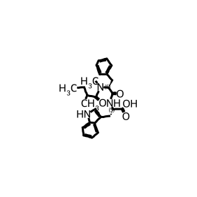 CCC(C)C(=O)N(C)[C@@H](Cc1ccccc1)C(=O)N[C@@H](Cc1c[nH]c2ccccc12)C(=O)O